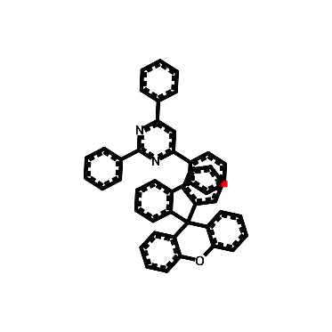 c1ccc(-c2cc(-c3ccccc3-c3ccccc3C3(c4ccccc4)c4ccccc4Oc4ccccc43)nc(-c3ccccc3)n2)cc1